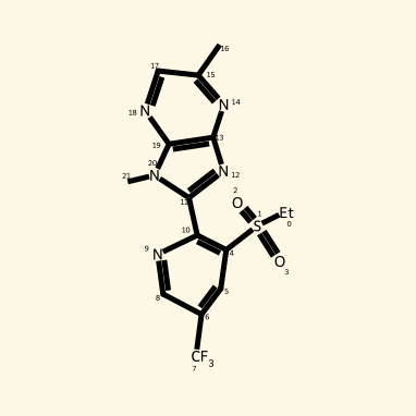 CCS(=O)(=O)c1cc(C(F)(F)F)cnc1-c1nc2nc(C)cnc2n1C